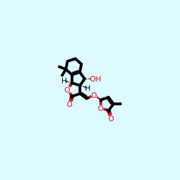 CC1=C[C@H](O/C=C2/C(=O)O[C@H]3C4=C(CCCC4(C)C)[C@H](O)[C@@H]23)OC1=O